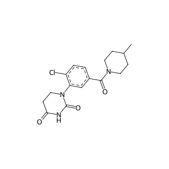 CC1CCN(C(=O)c2ccc(Cl)c(N3CCC(=O)NC3=O)c2)CC1